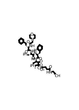 C#CCNC(=O)CCC(=O)OC(C)(CI)C(=O)C(CC(C)C)NC(=O)[C@H](Cc1ccccc1)NC(=O)[C@H](CC(C)C)NC(=O)[C@H](CCc1ccccc1)NC(=O)CN1CCOCC1